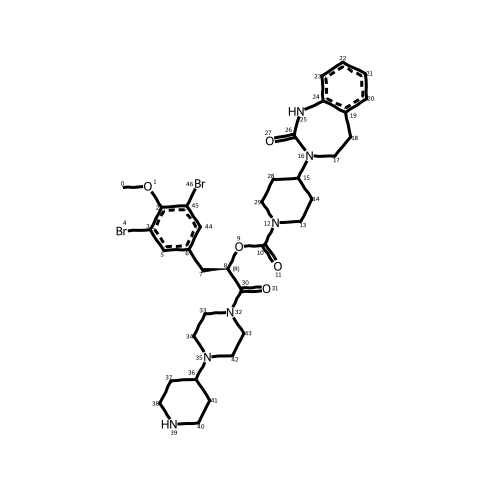 COc1c(Br)cc(C[C@@H](OC(=O)N2CCC(N3CCc4ccccc4NC3=O)CC2)C(=O)N2CCN(C3CCNCC3)CC2)cc1Br